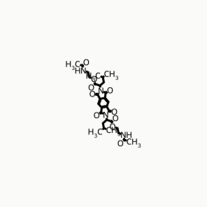 CC(=O)NCCOC(=O)C(CC(C)C)n1c(=O)c2cc3c(=O)n(C(CC(C)C)C(=O)OCCNC(C)=O)c(=O)c3cc2c1=O